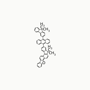 CC1(C)c2ccccc2-c2cc(-c3c4ccccc4c(-c4ccc5c(c4)C(C)(C)c4ccc6c(ccc7c8ccccc8oc67)c4-5)c4ccccc34)ccc21